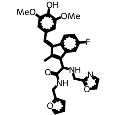 COc1cc(/C=C2/C(C)=C(C(NCc3ncco3)C(=O)NCc3ccco3)c3cc(F)ccc32)cc(OC)c1O